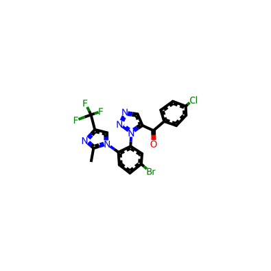 Cc1nc(C(F)(F)F)cn1-c1ccc(Br)cc1-n1nncc1C(=O)c1ccc(Cl)cc1